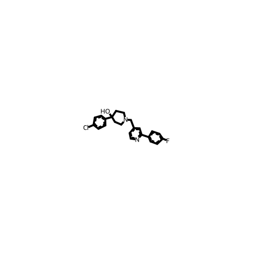 OC1(c2ccc(Cl)cc2)CCN(Cc2ccnc(-c3ccc(F)cc3)c2)CC1